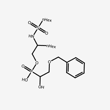 CCCCCCC(COP(=O)(O)C(O)COCc1ccccc1)NS(=O)(=O)CCCCCC